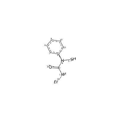 CCNC(=O)N(S)c1cc[c]cc1